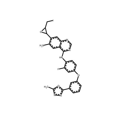 Cc1nnc(-c2cccc(Oc3ccc(Nc4ncnc5cc(C6OC6CI)c(N)cc45)c(F)c3)c2)o1